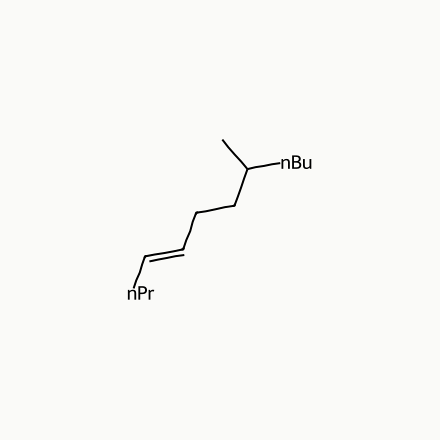 CCCC=CCCC(C)CCCC